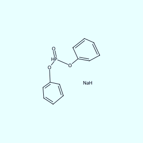 O=[PH](Oc1ccccc1)Oc1ccccc1.[NaH]